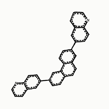 c1cnc2ccc(-c3ccc4c(ccc5ccc(-c6ccc7ncccc7c6)cc54)c3)cc2c1